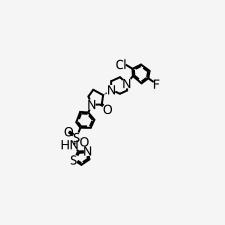 O=C1[C@@H](N2CCN(c3cc(F)ccc3Cl)CC2)CCN1c1ccc(S(=O)(=O)Nc2nccs2)cc1